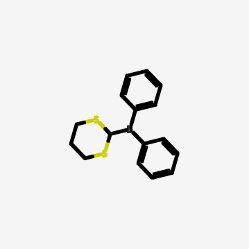 c1ccc(B(c2ccccc2)C2SCCCS2)cc1